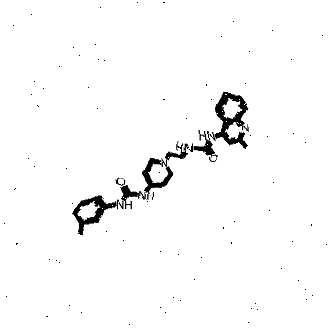 Cc1cccc(NC(=O)NC2CCN(CCNC(=O)Nc3cc(C)nc4ccccc34)CC2)c1